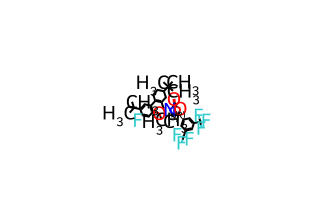 COc1cc(F)c(C(C)C)cc1C1=C(CN2C(=O)O[C@H](c3cc(C(F)(F)F)cc(C(F)(F)F)c3)[C@@H]2C)CC(C(C)(C)C)CC1